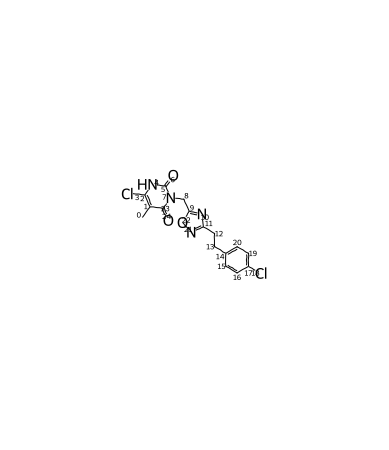 Cc1c(Cl)[nH]c(=O)n(Cc2nc(CCc3ccc(Cl)cc3)no2)c1=O